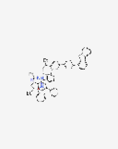 CC/C1=C(/c2ccc(-c3ccccc3)cc2)CC(CC)C(c2ccccc2)/N=C(/c2cccc3c2CCC(CC)c2ccc(C4=CC=C(c5cccc6c5Cc5ccccc5-6)CC4)cc2-3)N1